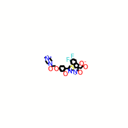 COc1cc(OCC(=O)N2CC[N+](C)(C)CC2)ccc1-c1csc(N(C)C(=O)C2(CC(=O)[O-])Cc3cc(F)c(F)cc3C2)n1